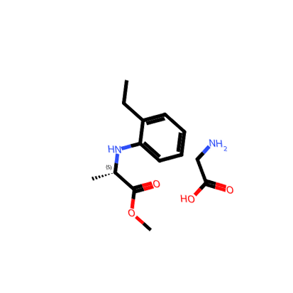 CCc1ccccc1N[C@@H](C)C(=O)OC.NCC(=O)O